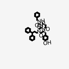 CN1CC(=O)N2[C@@H](Cc3ccc(O)cc3)C(=O)N(CCC(c3ccccc3)c3ccccc3)C[C@@H]2N1C(=O)NCc1ccccc1